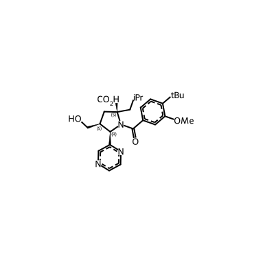 COc1cc(C(=O)N2[C@@H](c3cnccn3)[C@@H](CO)C[C@@]2(CC(C)C)C(=O)O)ccc1C(C)(C)C